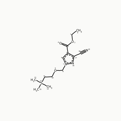 CCOC(=O)c1cn(COCCS(C)(C)C)nc1C#N